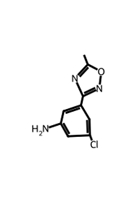 Cc1nc(-c2cc(N)cc(Cl)c2)no1